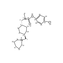 CN(C[C@H]1CC[C@H](CN2CCCCC2)CC1)C(=O)Oc1ccc(Cl)cc1